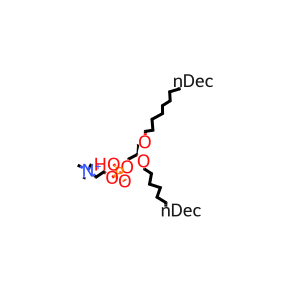 CCCCCCCCCCCCCCCCCCOC[C@H](COP(=O)(O)OCC[N+](C)(C)C)OCCCCCCCCCCCCCCCC